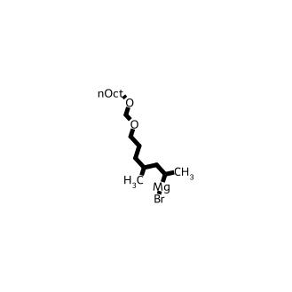 CCCCCCCCOCOCCCC(C)C[CH](C)[Mg][Br]